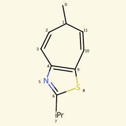 CC1C=Cc2nc(C(C)C)sc2C=C1